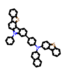 c1ccc(-n2c3cc(-c4ccc(N(c5ccc6ccccc6c5)c5ccc6sc7ccccc7c6c5)cc4)ccc3c3c4sc5ccccc5c4ccc32)cc1